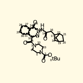 CC(C)(C)OC(=O)N1CCN(C(=O)c2nn(NC(=O)CC3CC4CCC3C4)c(=O)c3ccccc23)CC1